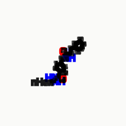 CCCCCCNNC(=O)c1ccc(CNC(=O)/C=C/C2=CCCC=C2)cc1